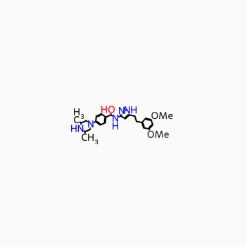 COc1cc(CCc2cc(NC(O)c3ccc(N4CC(C)NC(C)C4)cc3)n[nH]2)cc(OC)c1